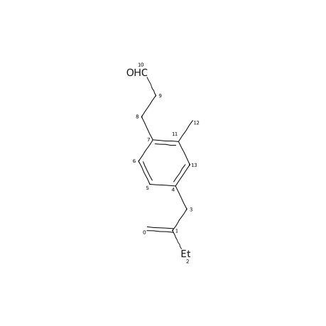 C=C(CC)Cc1ccc(CCC=O)c(C)c1